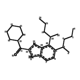 CCCC(C)c1ccc2[nH]c(C(=O)C3CCCCC3)nc2c1C(C)CCC